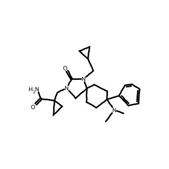 CN(C)C1(c2ccccc2)CCC2(CC1)CN(CC1(C(N)=O)CC1)C(=O)N2CC1CC1